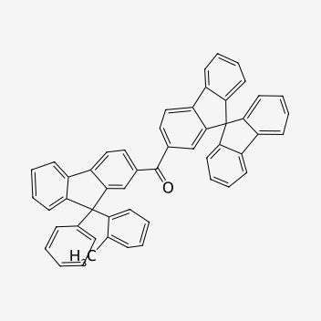 Cc1ccccc1C1(c2ccccc2)c2ccccc2-c2ccc(C(=O)c3ccc4c(c3)C3(c5ccccc5-c5ccccc53)c3ccccc3-4)cc21